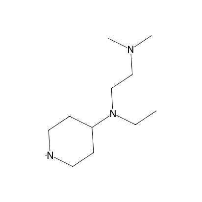 CCN(CCN(C)C)C1CC[N]CC1